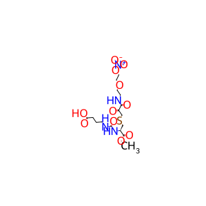 COC(=O)[C@H](CSCC(=O)C(=O)NCCOCCO[N+](=O)[O-])NC(=O)NCCCC(=O)O